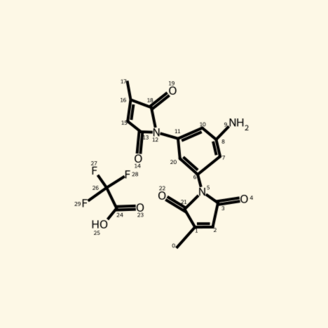 CC1=CC(=O)N(c2cc(N)cc(N3C(=O)C=C(C)C3=O)c2)C1=O.O=C(O)C(F)(F)F